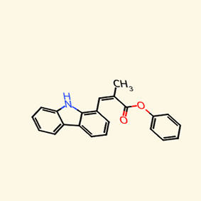 CC(=Cc1cccc2c1[nH]c1ccccc12)C(=O)Oc1ccccc1